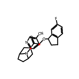 N#Cc1ccc(N2C3CCC2CN(C(=O)COC2CCc4ccc(F)cc42)C3)nc1